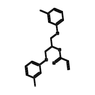 C=CC(=O)OC(COc1cccc(C)c1)COc1cccc(C)c1